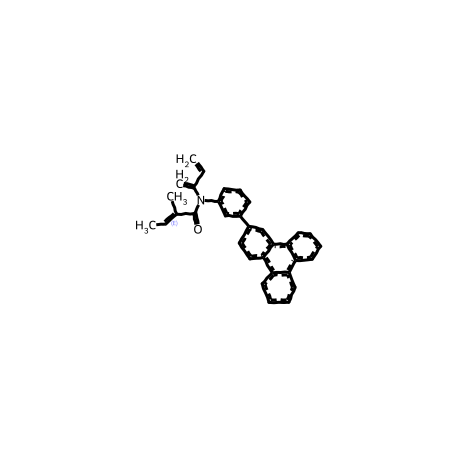 C=CC(=C)N(C(=O)/C(C)=C/C)c1cccc(-c2ccc3c4ccccc4c4ccccc4c3c2)c1